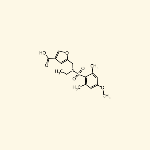 CCN(Cc1cc(C(=O)O)co1)S(=O)(=O)c1c(C)cc(OC)cc1C